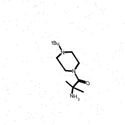 CC(C)(N)C(=O)N1CCN(C(C)(C)C)CC1